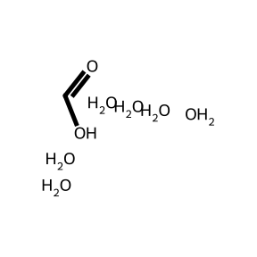 O.O.O.O.O.O.O=CO